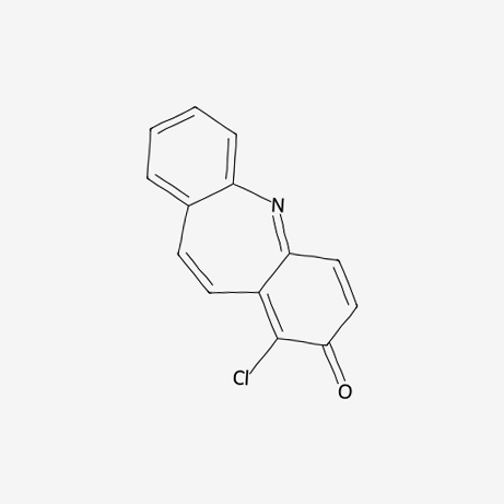 O=c1ccc2nc3ccccc3ccc-2c1Cl